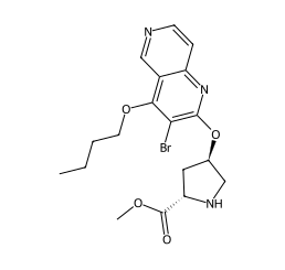 CCCCOc1c(Br)c(O[C@H]2CN[C@H](C(=O)OC)C2)nc2ccncc12